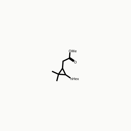 CCCCCCC1C(CC(=O)OC)C1(C)C